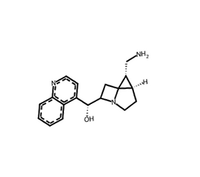 NC[C@@H]1[C@H]2CCN3C([C@H](O)c4ccnc5ccccc45)CC123